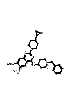 COc1cc2nc(N3CCC(C4CC4)CC3)nc(NC3CCN(Cc4ccccc4)CC3)c2cc1OC